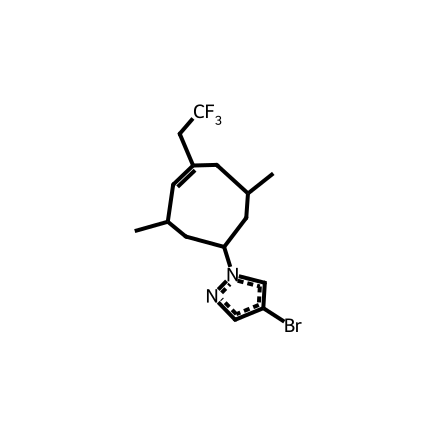 CC1/C=C(/CC(F)(F)F)CC(C)CC(n2cc(Br)cn2)C1